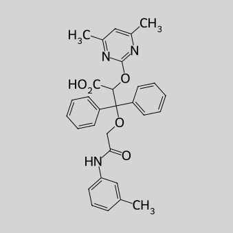 Cc1cccc(NC(=O)COC(c2ccccc2)(c2ccccc2)C(Oc2nc(C)cc(C)n2)C(=O)O)c1